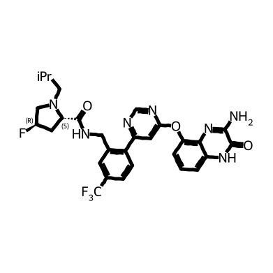 CC(C)CN1C[C@H](F)C[C@H]1C(=O)NCc1cc(C(F)(F)F)ccc1-c1cc(Oc2cccc3[nH]c(=O)c(N)nc23)ncn1